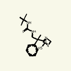 CC(C)(C)NC(=S)NCC(C)(c1ccccc1)S1(S)N2CN1C2